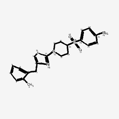 Cc1ccccc1Cc1csc(N2CCC(S(=O)(=O)c3ccc(C(C)(C)C)cc3)CC2)n1